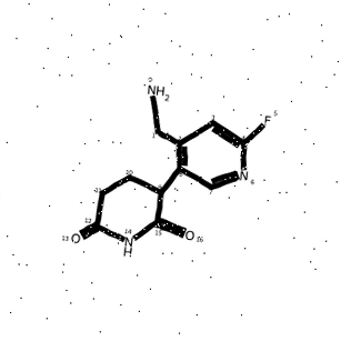 NCc1cc(F)ncc1C1CCC(=O)NC1=O